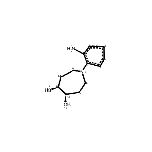 Nc1ccccc1N1CC[C@@H](O)[C@@H](O)CC1